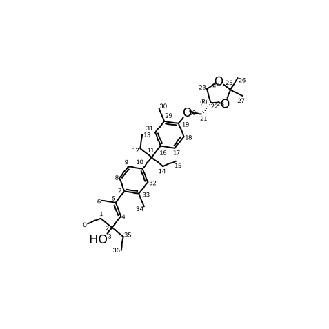 CCC(O)(C=C(C)c1ccc(C(CC)(CC)c2ccc(OC[C@@H]3COC(C)(C)O3)c(C)c2)cc1C)CC